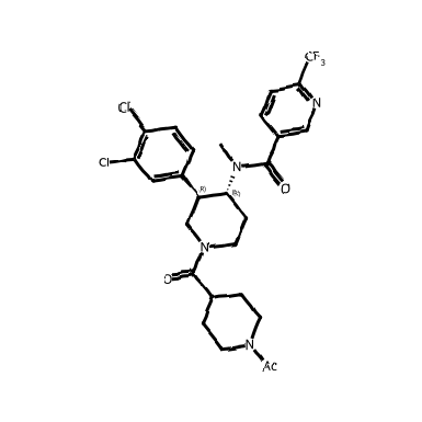 CC(=O)N1CCC(C(=O)N2CC[C@@H](N(C)C(=O)c3ccc(C(F)(F)F)nc3)[C@H](c3ccc(Cl)c(Cl)c3)C2)CC1